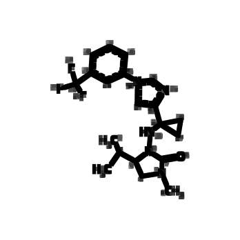 CC(C)C1CN(C)C(=O)N1NC1(c2cn(-c3cccc(C(F)(F)F)c3)cn2)CC1